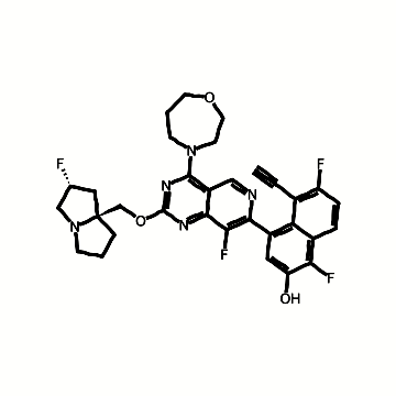 C#Cc1c(F)ccc2c(F)c(O)cc(-c3ncc4c(N5CCCOCC5)nc(OC[C@@]56CCCN5C[C@H](F)C6)nc4c3F)c12